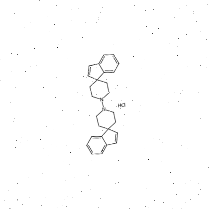 C1=CC2(CCN(N3CCC4(C=Cc5ccccc54)CC3)CC2)c2ccccc21.Cl